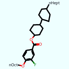 CCCCCCCCOc1ccc(C(=O)OC2CCC(C3CCC(CCCCCCC)CC3)CC2)cc1F